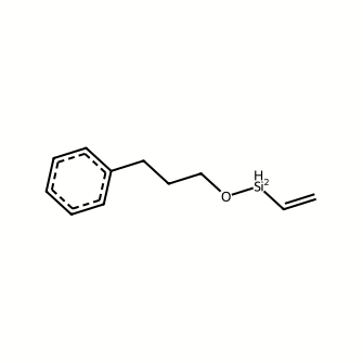 C=C[SiH2]OCCCc1ccccc1